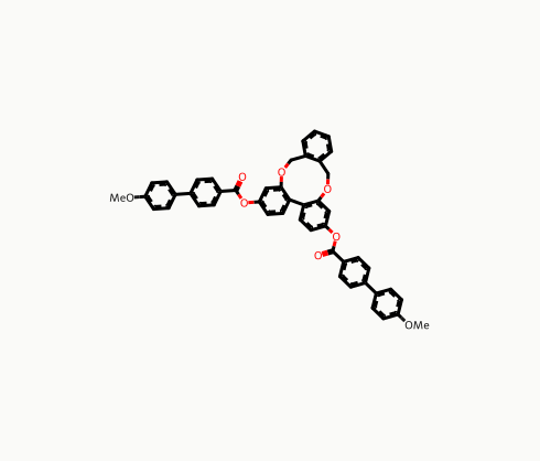 COc1ccc(-c2ccc(C(=O)Oc3ccc4c(c3)OCc3ccccc3COc3cc(OC(=O)c5ccc(-c6ccc(OC)cc6)cc5)ccc3-4)cc2)cc1